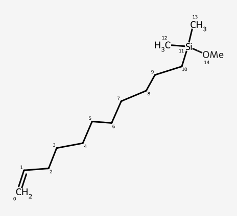 C=CCCCCCCCCC[Si](C)(C)OC